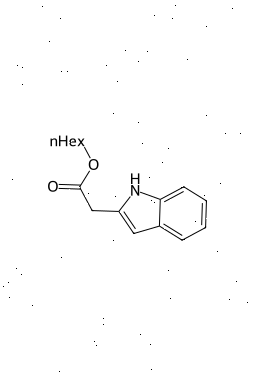 CCCCCCOC(=O)Cc1cc2ccccc2[nH]1